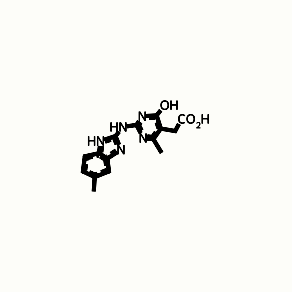 Cc1ccc2[nH]c(Nc3nc(C)c(CC(=O)O)c(O)n3)nc2c1